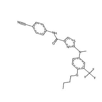 CCCCOc1ccc(N(C)c2nc(C(=O)Nc3ccc(C#N)cc3)cs2)cc1C(F)(F)F